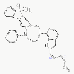 C/C=C\C=C/c1cc2cccc(-c3cccn(-c4ccccc4)c4cc5c(cc4cc3)C(C)(C)c3ccccc3-5)c2o1